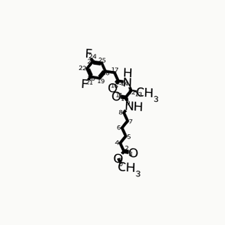 COC(=O)CCCCCNC(=O)[C@H](C)NC(=O)Cc1cc(F)cc(F)c1